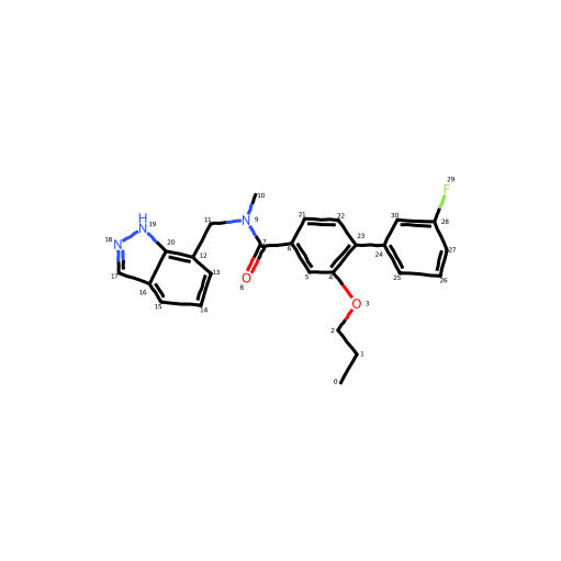 CCCOc1cc(C(=O)N(C)Cc2cccc3cn[nH]c23)ccc1-c1cccc(F)c1